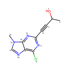 CC(O)C#Cc1nc(Cl)c2ncn(C)c2n1